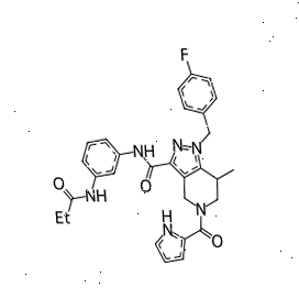 CCC(=O)Nc1cccc(NC(=O)c2nn(Cc3ccc(F)cc3)c3c2CN(C(=O)c2ccc[nH]2)CC3C)c1